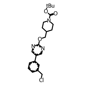 CC(C)(C)OC(=O)N1CCC(COc2ncc(-c3cccc(CCl)c3)cn2)CC1